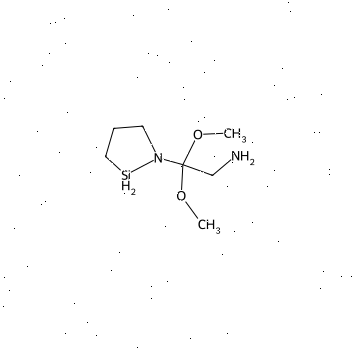 COC(CN)(OC)N1CCC[SiH2]1